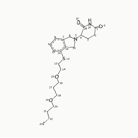 O=C1CCC(N2Cc3cccc(SCCOCCCOCCCI)c3C2)C(=O)N1